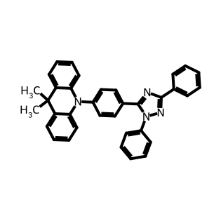 CC1(C)c2ccccc2N(c2ccc(-c3nc(-c4ccccc4)nn3-c3ccccc3)cc2)c2ccccc21